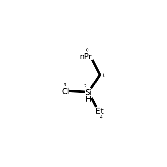 CCCC[SiH](Cl)CC